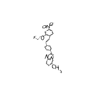 Cc1ccc2nc(-c3ccc(C=Cc4ccc([N+](=O)[O-])cc4OCCF)cc3)cn2c1